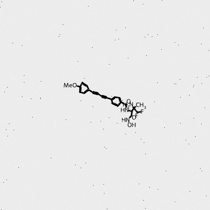 COc1ccc(C#CC#Cc2ccc(C(=O)NC(C(=O)NO)C(C)(N)C(F)F)cc2)cc1